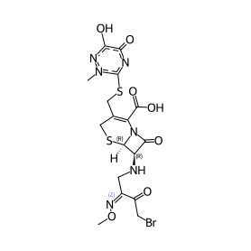 CO/N=C(/CN[C@@H]1C(=O)N2C(C(=O)O)=C(CSc3nc(=O)c(O)nn3C)CS[C@H]12)C(=O)CBr